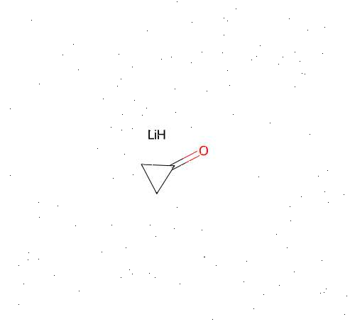 O=C1CC1.[LiH]